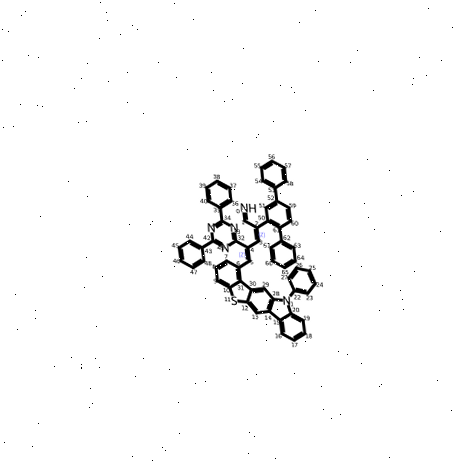 N=C/C(=C\C(=C\c1cccc2sc3cc4c5ccccc5n(-c5ccccc5)c4cc3c12)c1nc(-c2ccccc2)nc(-c2ccccc2)n1)c1cc(-c2ccccc2)ccc1-c1ccccc1